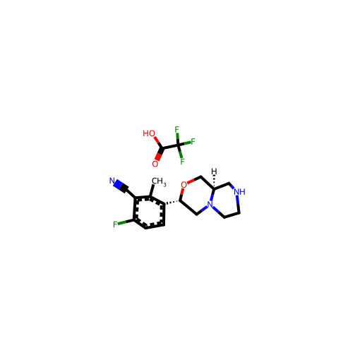 Cc1c([C@H]2CN3CCNC[C@@H]3CO2)ccc(F)c1C#N.O=C(O)C(F)(F)F